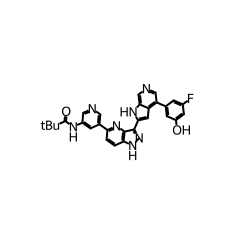 CC(C)(C)C(=O)Nc1cncc(-c2ccc3[nH]nc(-c4cc5c(-c6cc(O)cc(F)c6)cncc5[nH]4)c3n2)c1